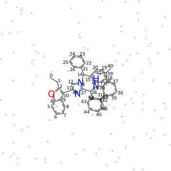 CCc1oc2ccccc2c1-c1cn(C(c2ccccc2)c2ccccc2)c(C(Nc2c(C(C)C)cccc2C(C)C)c2ccccc2C)n1